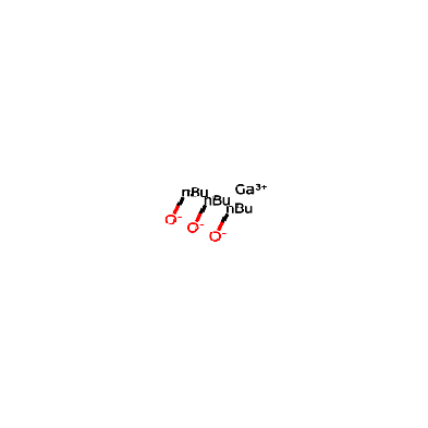 CCCC[O-].CCCC[O-].CCCC[O-].[Ga+3]